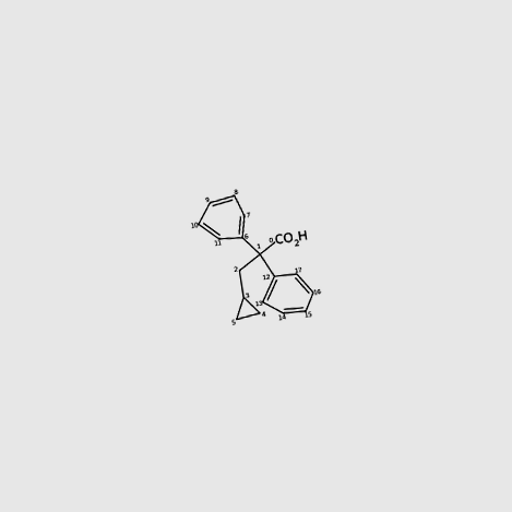 O=C(O)C(CC1CC1)(c1ccccc1)c1ccccc1